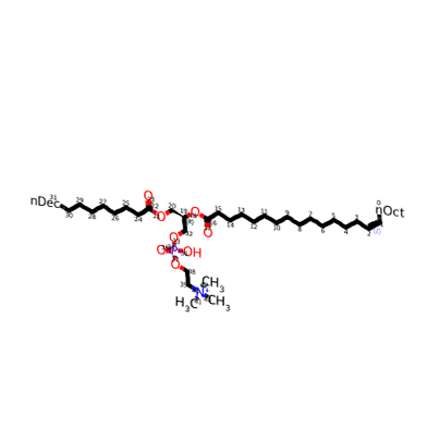 CCCCCCCC/C=C\CCCCCCCCCCCCCC(=O)O[C@H](COC(=O)CCCCCCCCCCCCCCCCC)COP(=O)(O)OCC[N+](C)(C)C